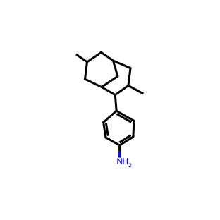 CC1CC2CC(C)C(c3ccc(N)cc3)C(C1)C2